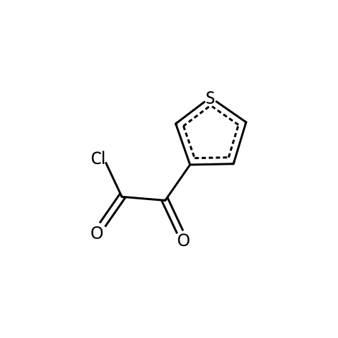 O=C(Cl)C(=O)c1ccsc1